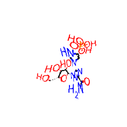 NC(=O)c1ncn([C@@H]2O[C@H](CO)[C@@H](O)[C@H]2O)n1.O=P(O)(O)O.c1c[nH]cn1